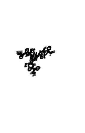 C=CC(=O)OC(C)CN(CC)c1nc(N(CC)CC(=O)C(=O)C=C)nc(N(CC)CC(=O)C(=O)C=C)n1